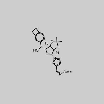 CO/N=C\c1ccn([C@@H]2O[C@H](C(O)c3ccc4c(c3)CC4)[C@H]3OC(C)(C)O[C@H]32)c1